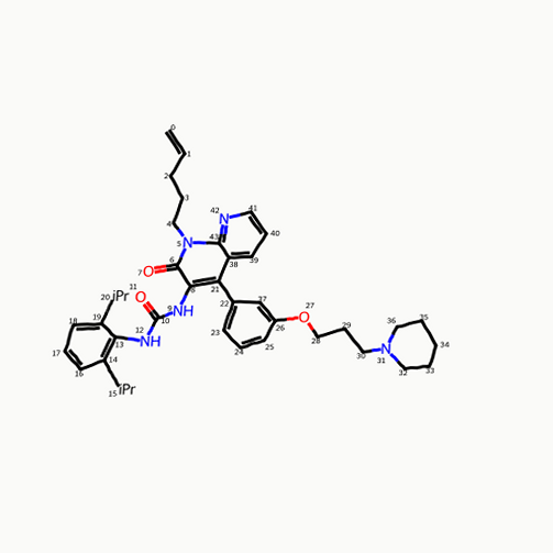 C=CCCCn1c(=O)c(NC(=O)Nc2c(C(C)C)cccc2C(C)C)c(-c2cccc(OCCCN3CCCCC3)c2)c2cccnc21